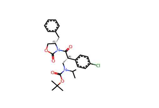 CC(C)N(C[C@H](C(=O)N1C(=O)OC[C@@H]1Cc1ccccc1)c1ccc(Cl)cc1)C(=O)OC(C)(C)C